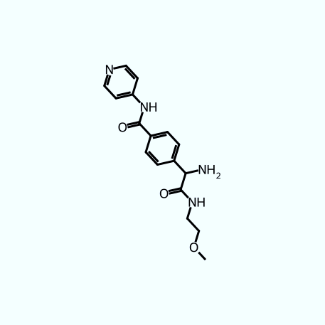 COCCNC(=O)C(N)c1ccc(C(=O)Nc2ccncc2)cc1